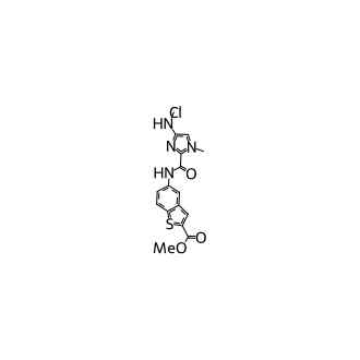 COC(=O)c1cc2cc(NC(=O)c3nc(NCl)cn3C)ccc2s1